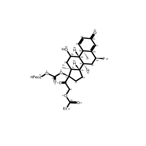 CCCCCOC(=O)O[C@]1(C(=O)COC(=O)CC)CC[C@H]2[C@@H]3C[C@H](F)C4=CC(=O)C=C[C@]4(C)[C@H]3C(O)C[C@@]21C